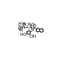 Cl.NC(=O)[C@@H](CCCNc1ncc[nH]1)N(Cc1ccc(O)cc1)C(=O)c1ccc2ccccc2c1